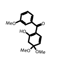 COc1cccc(C(=O)C2=C(O)CC(OC)(OC)C=C2)c1